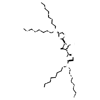 CCCCCCCCN(CCCCCCCC)c1cnc(C2=C(O)/C(=C3\N=CC(=[N+](CCCCCCCC)CCCCCCCC)O3)C2=O)o1